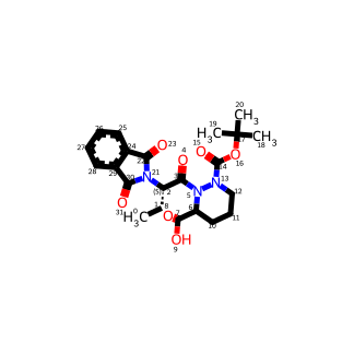 CC[C@@H](C(=O)N1C(C(=O)O)CCCN1C(=O)OC(C)(C)C)N1C(=O)c2ccccc2C1=O